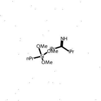 CC(C)C(=N)C(C)C.CCC[Si](OC)(OC)OC